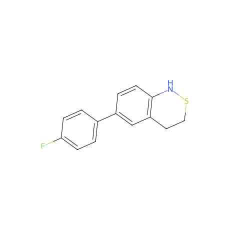 Fc1ccc(-c2ccc3c(c2)CCSN3)cc1